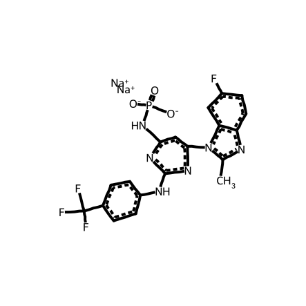 Cc1nc2ccc(F)cc2n1-c1cc(NP(=O)([O-])[O-])nc(Nc2ccc(C(F)(F)F)cc2)n1.[Na+].[Na+]